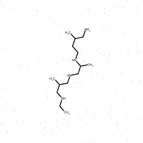 CCNCC(C)CNCC(C)NCCC(C)CN